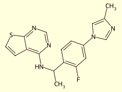 Cc1cn(-c2ccc(C(C)Nc3ncnc4sccc34)c(F)c2)cn1